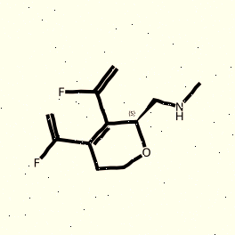 C=C(F)C1=C(C(=C)F)[C@@H](CNC)OCC1